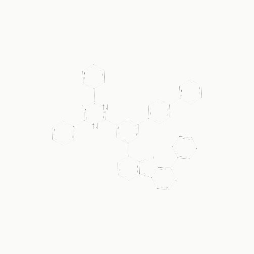 c1ccc(-c2ccc(-c3cc(-c4nc(-c5ccccc5)nc(-c5ccccc5)n4)cc(-c4cccc5c4oc4c(-c6ccccc6)cccc45)c3)cc2)cc1